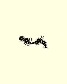 CN(C)Cc1ccc(Nc2ncc3cc(C#CCNC(=O)c4cccn(Cc5cccnc5)c4=O)ccc3n2)cc1